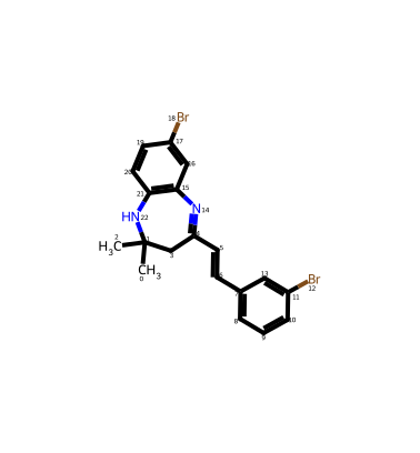 CC1(C)CC(C=Cc2cccc(Br)c2)=Nc2cc(Br)ccc2N1